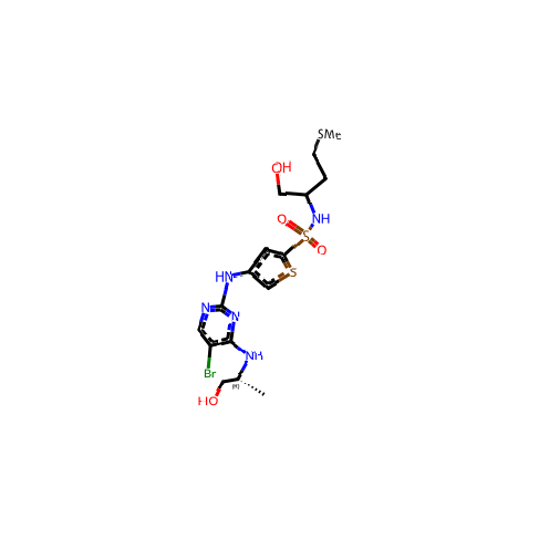 CSCCC(CO)NS(=O)(=O)c1cc(Nc2ncc(Br)c(N[C@H](C)CO)n2)cs1